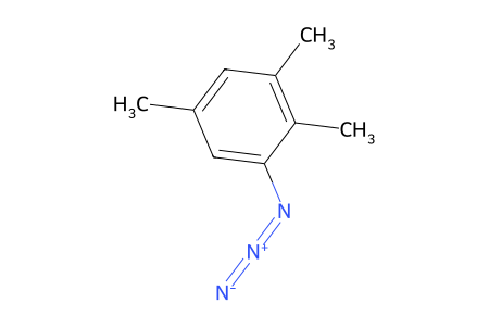 Cc1cc(C)c(C)c(N=[N+]=[N-])c1